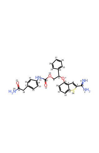 N=C(N)c1cc2c(OC(COC(=O)Nc3ccc(CC(N)=O)cc3)c3ccccc3)cccc2s1